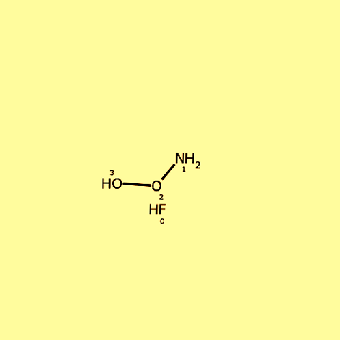 F.NOO